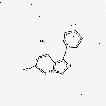 Cl.O=C(O)/C=C\c1[nH]cnc1-c1ccccc1